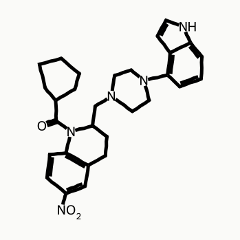 O=C(C1CCCCC1)N1c2ccc([N+](=O)[O-])cc2CCC1CN1CCN(c2cccc3[nH]ccc23)CC1